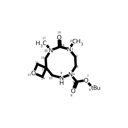 CN1CCN(C(=O)OC(C)(C)C)NCC2(COC2)CN(C)C1=O